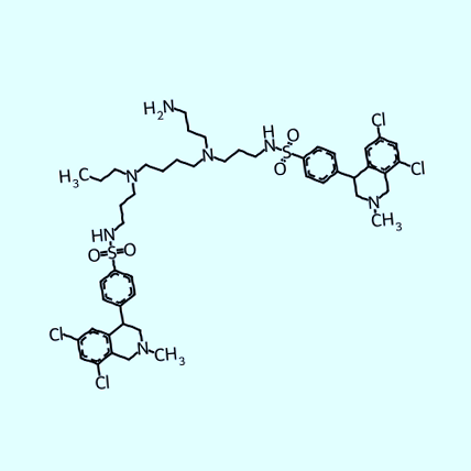 CCCN(CCCCN(CCCN)CCCNS(=O)(=O)c1ccc(C2CN(C)Cc3c(Cl)cc(Cl)cc32)cc1)CCCNS(=O)(=O)c1ccc(C2CN(C)Cc3c(Cl)cc(Cl)cc32)cc1